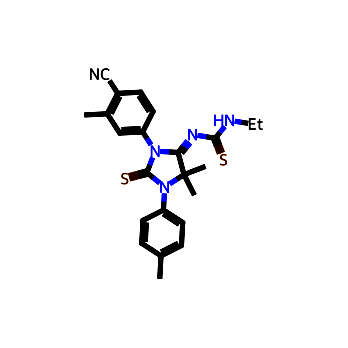 CCNC(=S)N=C1N(c2ccc(C#N)c(C)c2)C(=S)N(c2ccc(C)cc2)C1(C)C